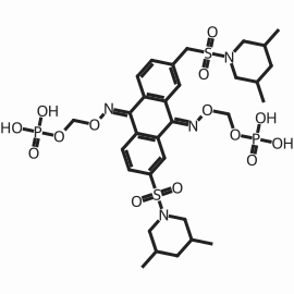 CC1CC(C)CN(S(=O)(=O)Cc2ccc3c(c2)/C(=N\OCOP(=O)(O)O)c2cc(S(=O)(=O)N4CC(C)CC(C)C4)ccc2/C3=N\OCOP(=O)(O)O)C1